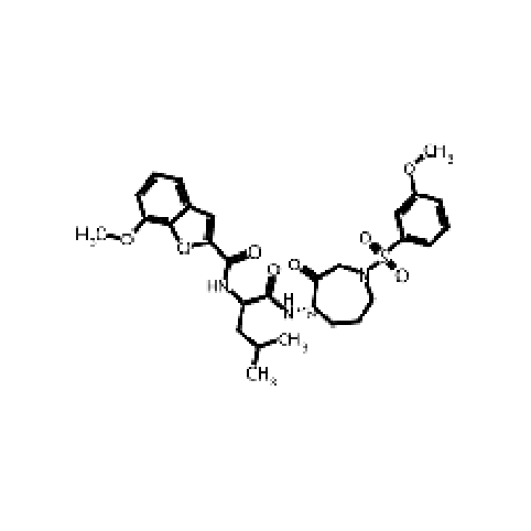 COc1cccc(S(=O)(=O)N2CCC[C@H](NC(=O)C(CC(C)C)NC(=O)c3cc4cccc(OC)c4o3)C(=O)C2)c1